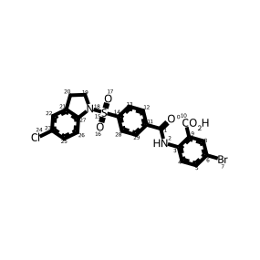 O=C(Nc1ccc(Br)cc1C(=O)O)c1ccc(S(=O)(=O)N2CCc3cc(Cl)ccc32)cc1